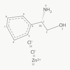 N[C@H](CO)c1ccccc1.[Cl-].[Cl-].[Zn+2]